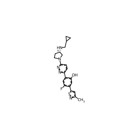 Cc1cc(-c2cc(O)c(-c3ccc(N4CC[C@H](NCC5CC5)C4)nn3)cc2F)sn1